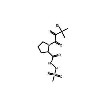 CCC(C)(C)C(=O)C(=O)N1CCCC1C(=O)NNS(C)(=O)=O